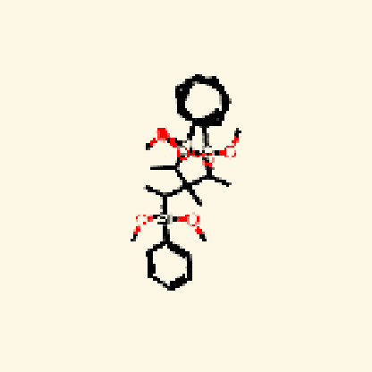 CO[Si](OC)(c1ccccc1)C(C)C(C)(C(C)[Si](OC)(OC)c1ccccc1)C(C)[Si](OC)(OC)c1ccccc1